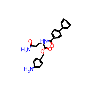 NC(=O)CC[C@H](NC(=O)c1ccc(-c2ccccc2)cc1)C(=O)OCc1ccc(N)cc1